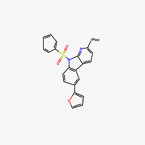 CCCCCc1ccc2c3cc(-c4ccco4)ccc3n(S(=O)(=O)c3ccccc3)c2n1